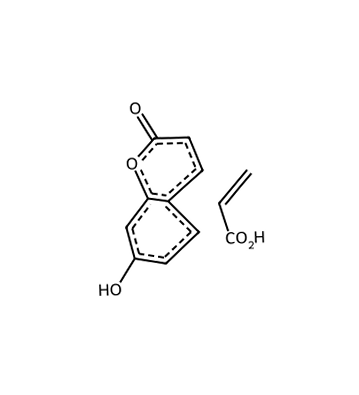 C=CC(=O)O.O=c1ccc2ccc(O)cc2o1